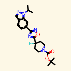 CC(C)n1ncc2ccc(-c3noc(C4(F)CCN(C(=O)OC(C)(C)C)CC4)n3)cc21